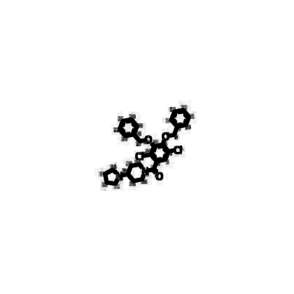 O=C(c1cc(Cl)c(OCc2ccccc2)c(OCc2ccccc2)c1Cl)N1CCC(N2CCCC2)CC1